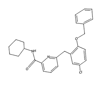 O=C(NC1CCCCC1)c1cccc(Cc2cc(Cl)ccc2OCc2ccccc2)n1